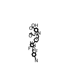 N#Cc1ccc(COc2nc(C3=CCN(Cc4nc5ccc(C(=O)O)cc5n4CC4CCO4)CC3)ncc2F)c(F)c1